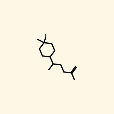 C=C(C)CCC(C)C1CCC(C)(F)CC1